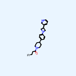 CC(C)CCC(=O)N1CCC(c2ccc(N3CC(c4cccnc4)C3)cc2)CC1